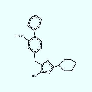 CC(C)(C)n1nc(C2CCCCC2)nc1Cc1ccc(-c2ccccc2)c(C(=O)O)c1